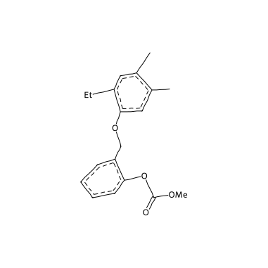 CCc1cc(C)c(C)cc1OCc1ccccc1OC(=O)OC